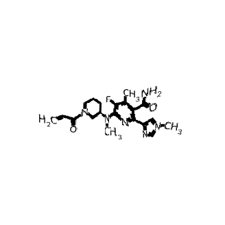 C=CC(=O)N1CCC[C@@H](N(C)c2nc(-c3cn(C)cn3)c(C(N)=O)c(C)c2F)C1